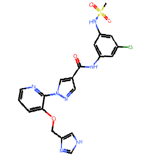 CS(=O)(=O)Nc1cc(Cl)cc(NC(=O)c2cnn(-c3ncccc3OCc3c[nH]cn3)c2)c1